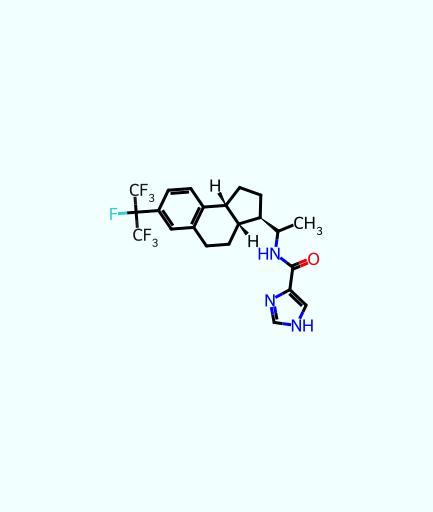 CC(NC(=O)c1c[nH]cn1)[C@@H]1CC[C@H]2c3ccc(C(F)(C(F)(F)F)C(F)(F)F)cc3CC[C@H]21